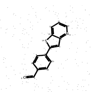 O=Cc1ccc(-c2cc3ncccc3s2)cc1